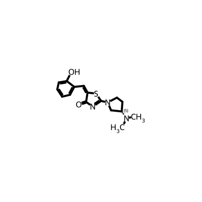 CN(C)[C@H]1CCN(C2=NC(=O)C(=Cc3ccccc3O)S2)C1